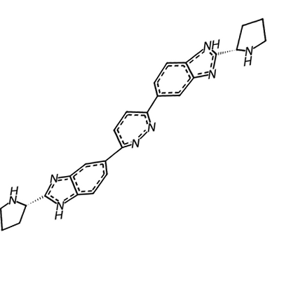 c1cc2[nH]c([C@@H]3CCCN3)nc2cc1-c1ccc(-c2ccc3[nH]c([C@@H]4CCCN4)nc3c2)nn1